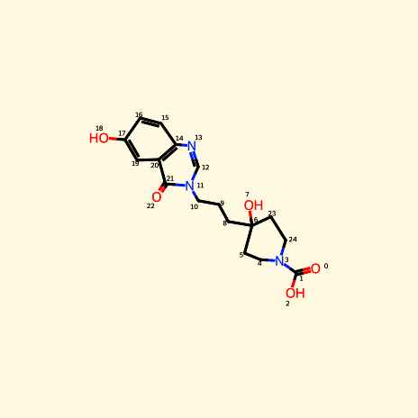 O=C(O)N1CCC(O)(CCCn2cnc3ccc(O)cc3c2=O)CC1